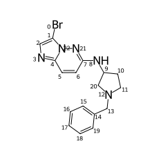 Brc1cnc2ccc(NC3CCN(Cc4ccccc4)C3)nn12